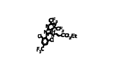 CCOC(=O)CCNc1c2c(C(F)(F)F)nc(C(F)(F)F)nc2nn1-c1c(Cl)cc(C(F)(F)F)cc1Cl